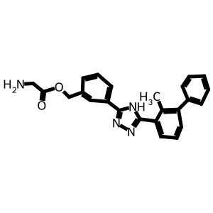 Cc1c(-c2ccccc2)cccc1-c1nnc(-c2cccc(COC(=O)CN)c2)[nH]1